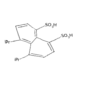 CC(C)c1ccc(S(=O)(=O)O)c2c(S(=O)(=O)O)ccc(C(C)C)c12